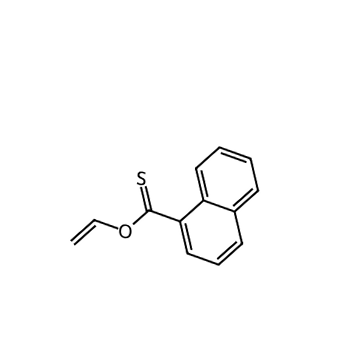 C=COC(=S)c1cccc2ccccc12